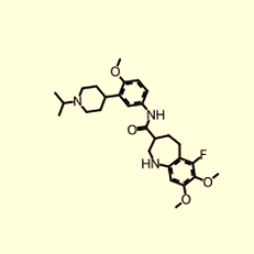 COc1ccc(NC(=O)C2CCc3c(cc(OC)c(OC)c3F)NC2)cc1C1CCN(C(C)C)CC1